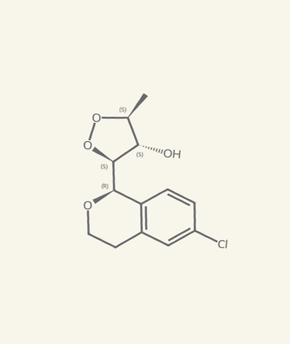 C[C@@H]1OO[C@H]([C@@H]2OCCc3cc(Cl)ccc32)[C@H]1O